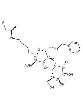 CC(=O)N[C@H]1[C@H](OCCCNC(=O)CF)O[C@H](COCc2ccccc2)[C@@H](O[C@H]2O[C@H](CO)[C@H](O)[C@H](O)[C@H]2O)[C@@H]1O